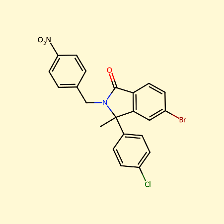 CC1(c2ccc(Cl)cc2)c2cc(Br)ccc2C(=O)N1Cc1ccc([N+](=O)[O-])cc1